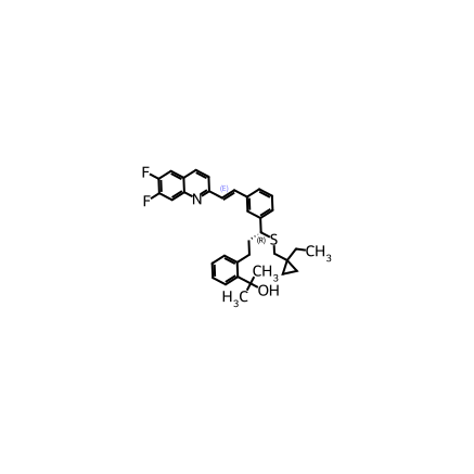 CCC1(CS[C@H](CCc2ccccc2C(C)(C)O)c2cccc(/C=C/c3ccc4cc(F)c(F)cc4n3)c2)CC1